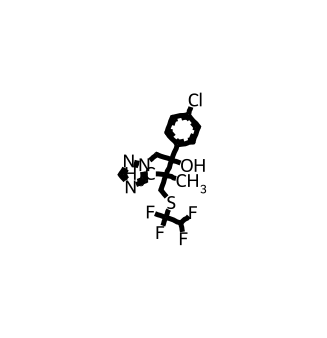 CC(C)(CSC(F)(F)C(F)F)C(O)(Cn1cncn1)c1ccc(Cl)cc1